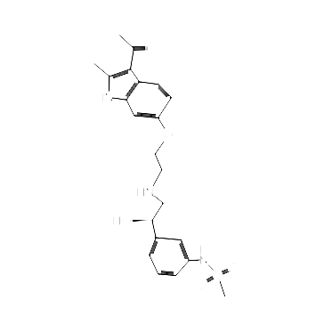 CC(=O)c1c(C)[nH]c2cc(OCCNC[C@H](O)c3cccc(NS(C)(=O)=O)c3)ccc12